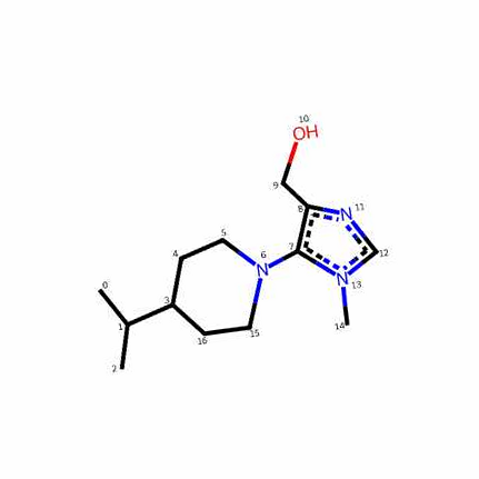 CC(C)C1CCN(c2c(CO)ncn2C)CC1